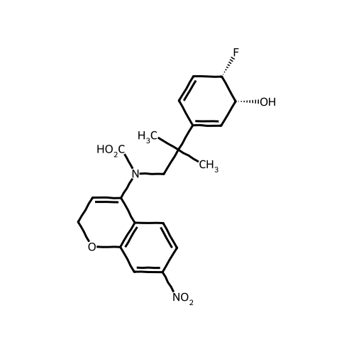 CC(C)(CN(C(=O)O)C1=CCOc2cc([N+](=O)[O-])ccc21)C1=C[C@@H](O)[C@@H](F)C=C1